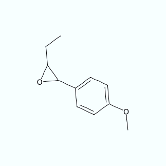 CCC1OC1c1ccc(OC)cc1